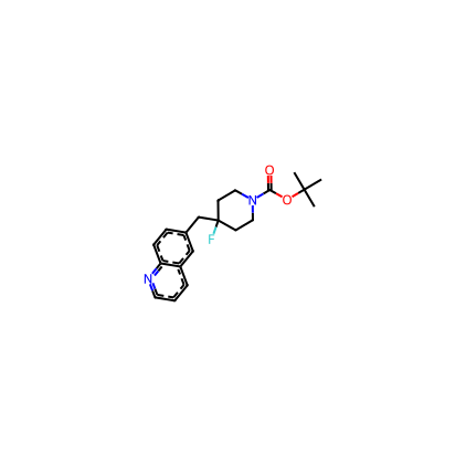 CC(C)(C)OC(=O)N1CCC(F)(Cc2ccc3ncccc3c2)CC1